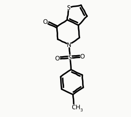 Cc1ccc(S(=O)(=O)N2CC(=O)c3sccc3C2)cc1